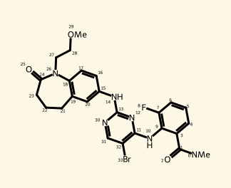 CNC(=O)c1cccc(F)c1Nc1nc(Nc2ccc3c(c2)CCCC(=O)N3CCOC)ncc1Br